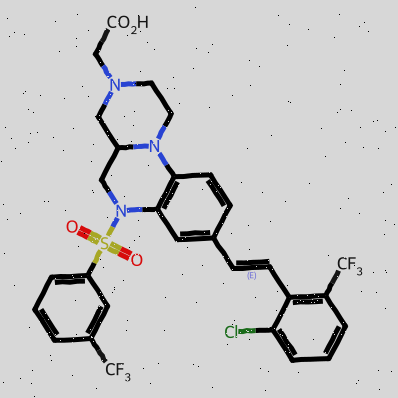 O=C(O)CN1CCN2c3ccc(/C=C/c4c(Cl)cccc4C(F)(F)F)cc3N(S(=O)(=O)c3cccc(C(F)(F)F)c3)CC2C1